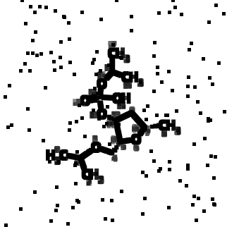 CC(C)OC[C@H]1O[C@@H](C)C[C@H]1OP(=O)(O)OC(C)C